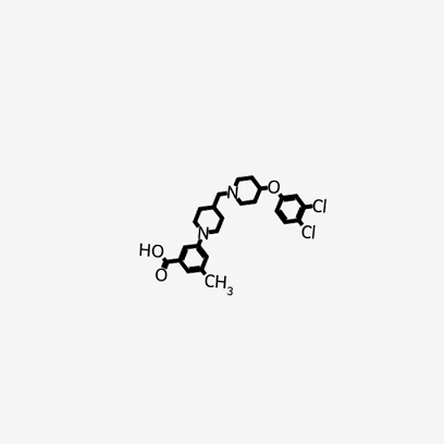 Cc1cc(C(=O)O)cc(N2CCC(CN3CCC(Oc4ccc(Cl)c(Cl)c4)CC3)CC2)c1